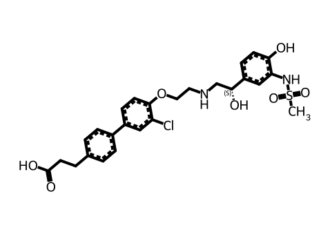 CS(=O)(=O)Nc1cc([C@H](O)CNCCOc2ccc(-c3ccc(CCC(=O)O)cc3)cc2Cl)ccc1O